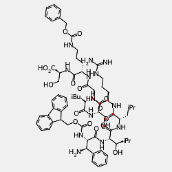 CC[C@H](C)[C@H](NC(=O)[C@@H](CCCNC(=N)N)NC(=O)[C@H](CC(C)C)NC(=O)[C@@H](NC(=O)[C@@H](NC(=O)OCC1c2ccccc2-c2ccccc21)[C@H](N)c1ccccc1)[C@H](O)C(C)C)C(=O)N[C@H](C(=O)NCC(=O)N[C@@H](CCCNC(=O)OCc1ccccc1)C(=O)N[C@@H](CO)C(=O)O)[C@H](C)O